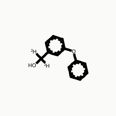 [2H]C([2H])(O)c1cccc(Oc2ccccc2)c1